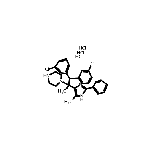 Cc1[nH]c(-c2ccccc2)nc1C(C)(C(c1cccc(Cl)c1)c1cccc(Cl)c1)N1CCNCC1.Cl.Cl.Cl